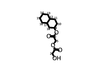 O=C(CO)OCC(=O)OC1CCC2CCCCC2C1